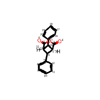 O=C1OC(=O)[C@H]2C(c3ccccc3)[C@@H]1C2c1ccccc1